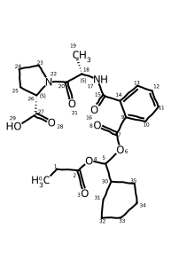 CCC(=O)OC(OC(=O)c1ccccc1C(=O)N[C@@H](C)C(=O)N1CCC[C@H]1C(=O)O)C1CCCCC1